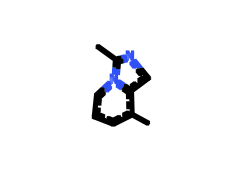 Cc1cccn2c(C)ncc12